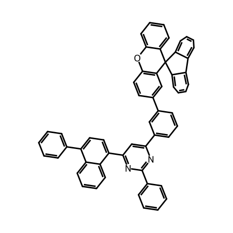 c1ccc(-c2nc(-c3cccc(-c4ccc5c(c4)C4(c6ccccc6O5)c5ccccc5-c5ccccc54)c3)cc(-c3ccc(-c4ccccc4)c4ccccc34)n2)cc1